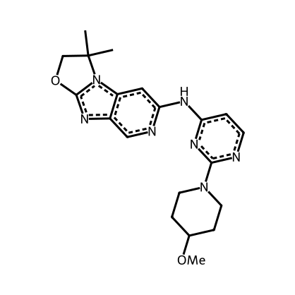 COC1CCN(c2nccc(Nc3cc4c(cn3)nc3n4C(C)(C)CO3)n2)CC1